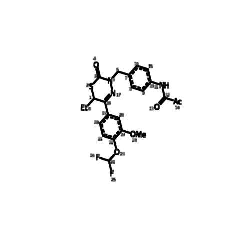 CCC1SC(=O)N(Cc2ccc(NC(=O)C(C)=O)cc2)N=C1c1ccc(OC(F)F)c(OC)c1